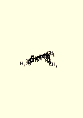 CCc1cnc(N2CC(Oc3cc(-n4ccc5cc(S(C)(=O)=O)ccc54)ncn3)CC2(CC)C(=O)O)nc1